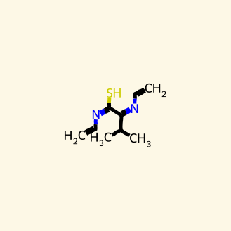 C=C/N=C(\C(S)=N/C=C)C(C)C